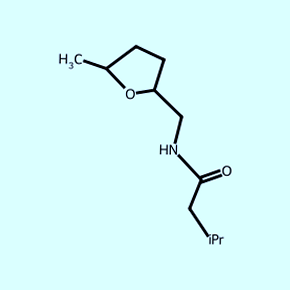 CC(C)CC(=O)NCC1CCC(C)O1